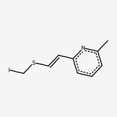 Cc1cccc(/C=C/SCI)n1